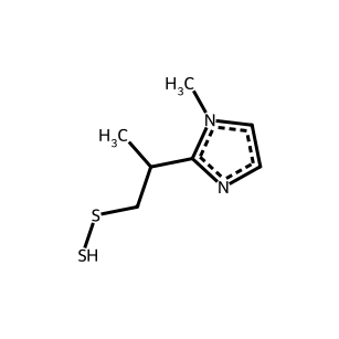 CC(CSS)c1nccn1C